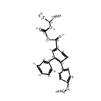 CCCCCCOc1ccc(-c2ccc(C(=O)OC(=O)OC(CCCCCC)C(F)(F)F)cc2-c2ccccc2)cc1